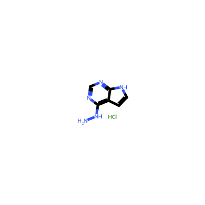 Cl.NNc1ncnc2[nH]ccc12